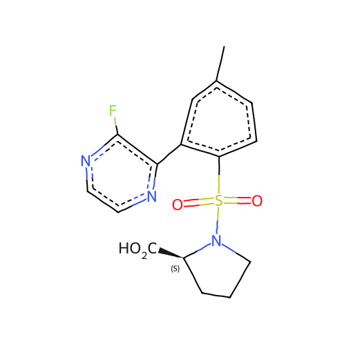 Cc1ccc(S(=O)(=O)N2CCC[C@H]2C(=O)O)c(-c2nccnc2F)c1